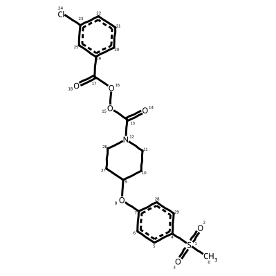 CS(=O)(=O)c1ccc(OC2CCN(C(=O)OOC(=O)c3cccc(Cl)c3)CC2)cc1